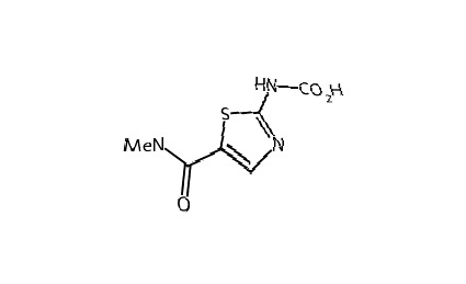 CNC(=O)c1cnc(NC(=O)O)s1